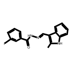 Cc1[nH]c2ccccc2c1C=NNC(=O)c1cccc(I)c1